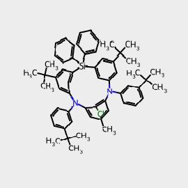 Cc1cc2c(Cl)c(c1)N(c1cccc(C(C)(C)C)c1)c1cc(C(C)(C)C)cc(c1)[Si](c1ccccc1)(c1ccccc1)c1cc(cc(C(C)(C)C)c1)N2c1cccc(C(C)(C)C)c1